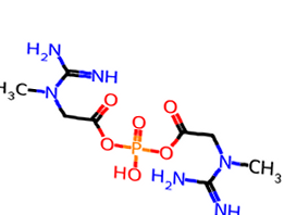 CN(CC(=O)OP(=O)(O)OC(=O)CN(C)C(=N)N)C(=N)N